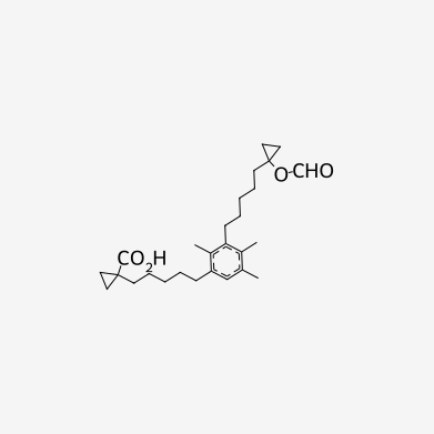 Cc1cc(CCCCCC2(C(=O)O)CC2)c(C)c(CCCCCC2(OC=O)CC2)c1C